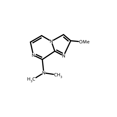 COc1cn2ccnc(N(C)C)c2n1